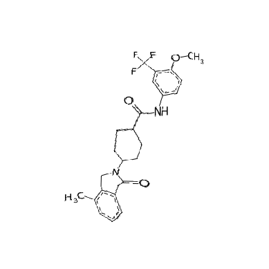 COc1ccc(NC(=O)C2CCC(N3Cc4c(C)cccc4C3=O)CC2)cc1C(F)(F)F